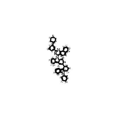 c1ccc(-c2cccc(-c3nc(-n4c5ccccc5c5cc(-c6cccc7c6c6ccccc6n7-c6ccccc6)ccc54)c4ccc5ccccc5c4n3)c2)cc1